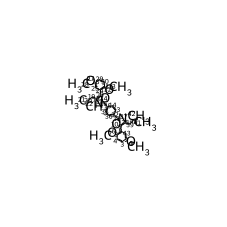 COc1ccc(OC)c(-c2oc(-c3ccc(-c4nc(CC(C)C)c(-c5cc(OC)ccc5OC)o4)cc3)nc2CC(C)C)c1